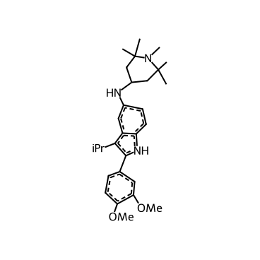 COc1ccc(-c2[nH]c3ccc(NC4CC(C)(C)N(C)C(C)(C)C4)cc3c2C(C)C)cc1OC